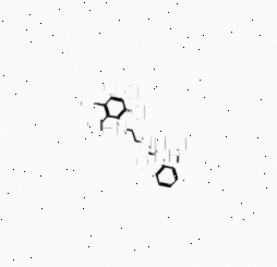 Cc1ccccc1NC(=O)NCCNc1c(Cl)c(Cl)c(Cl)c(Cl)c1Cl